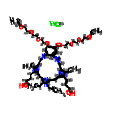 CCc1c2[nH]c(c1CC)Cc1[nH]c(c(C)c1CCCO)/C=N\c1cc(OCCOCCOCCOC)c(OCCOCCOCCOC)cc1/N=C\c1[nH]c(c(CCCO)c1C)C2.Cl